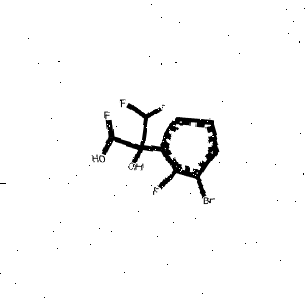 OC(F)C(O)(c1cccc(Br)c1F)C(F)F